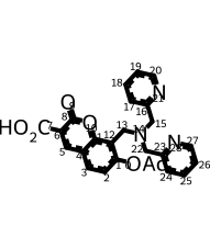 CC(=O)Oc1ccc2cc(C(=O)O)c(=O)oc2c1CN(Cc1ccccn1)Cc1ccccn1